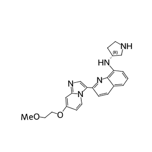 COCCOc1ccn2c(-c3ccc4cccc(N[C@@H]5CCNC5)c4n3)cnc2c1